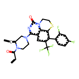 C=C=C1CN(c2nc(=O)n3c4c(c(-c5ccc(F)cc5F)c(C(F)(F)F)cc24)SCC3)CCN1C(=O)C=C